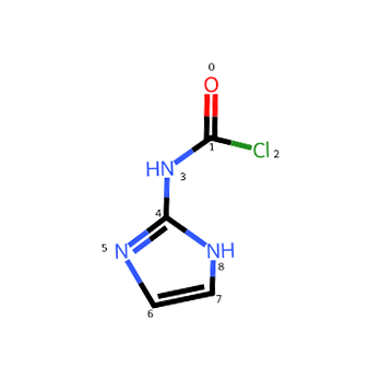 O=C(Cl)Nc1ncc[nH]1